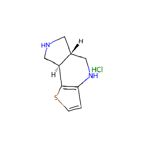 Cl.c1cc2c(s1)[C@H]1CNC[C@@H]1CN2